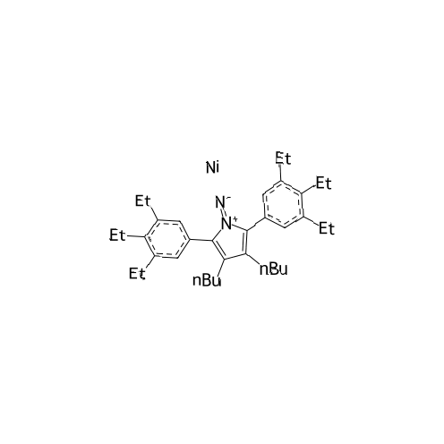 CCCCC1=C(c2cc(CC)c(CC)c(CC)c2)[N+](=[N-])C(c2cc(CC)c(CC)c(CC)c2)=C1CCCC.[Ni]